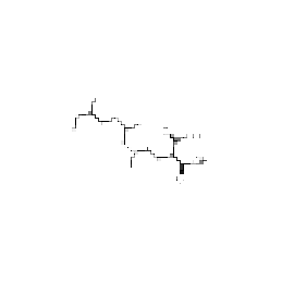 CCC(C)CCC(C)CC(C)CCC(C(=O)O)C(=O)O